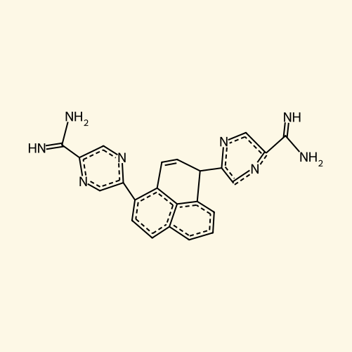 N=C(N)c1cnc(-c2ccc3cccc4c3c2C=CC4c2cnc(C(=N)N)cn2)cn1